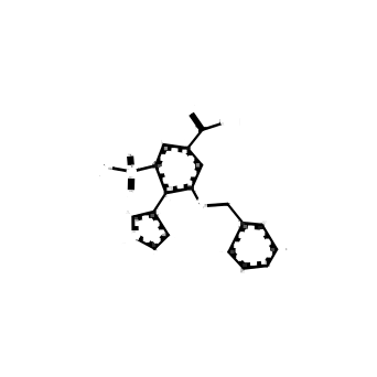 NS(=O)(=O)c1cc(C(=O)O)cc(NCc2ccccc2)c1-c1ccsc1